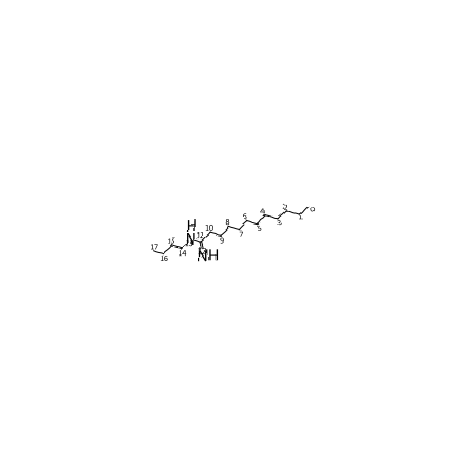 CCCCCCCCCCCC(=N)NCCCC